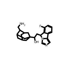 NCC1C2CC3CC1CC(C(O)CC1c4c(F)cccc4-c4cncn41)(C3)C2